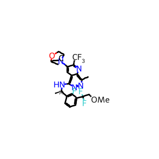 COCC(F)(F)c1cccc([C@@H](C)Nc2nnc(C)c3nc(C(F)(F)F)c(N4CC5CCCC4CO5)cc23)c1F